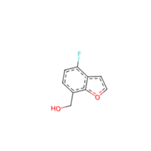 OCc1ccc(F)c2ccoc12